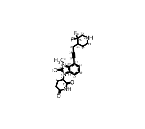 Cn1c(=O)n(C2CCC(=O)NC2=O)c2cccc(C#CCC3CCNCC3(F)F)c21